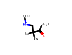 N#C[C]([Na])(CNC=O)C(=O)S(=O)(=O)O